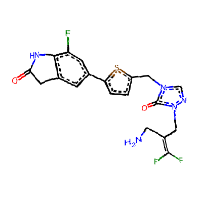 NCC(Cn1ncn(Cc2ccc(-c3cc(F)c4c(c3)CC(=O)N4)s2)c1=O)=C(F)F